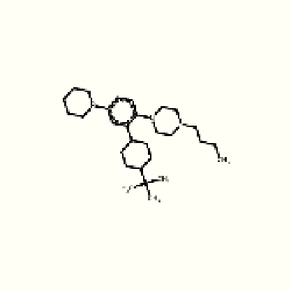 CCCCN1CCN(c2ccc(N3CC[CH]CC3)cc2C2CCC(C(C)(C)C)CC2)CC1